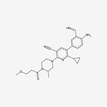 COCCC(=O)N1CCN(c2nc(C3CC3)c(-c3ccc(N)c(C=N)c3)cc2C#N)CC1C